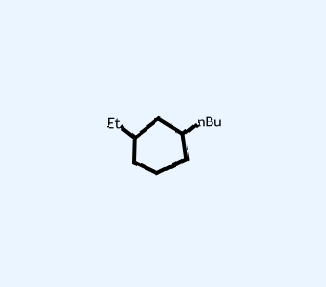 [CH2]CCCC1CCCC(CC)C1